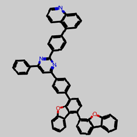 c1ccc(-c2cc(-c3ccc(-c4ccc(-c5cccc6c5oc5ccccc56)c5c4oc4ccccc45)cc3)nc(-c3ccc(-c4cccc5ncccc45)cc3)n2)cc1